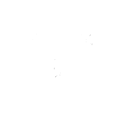 CCCC[C@]1(CC)CS(=O)(=O)c2cc(CC[C@@](C)(N)C(=O)O)c(OC)cc2[C@@H](c2ccccc2)N1.O=C(O)C(F)(F)F